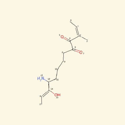 CC=C(C)C(=O)C(=O)CCCCC(N)C(O)=CC